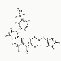 Cc1nc(CN2CCN(C(=O)c3cc4c(-c5ccnc(C(C)(C)O)n5)nn(C)c4cc3C)CC2)cs1